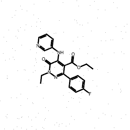 CCOC(=O)c1c(-c2ccc(F)cc2)nn(CC)c(=O)c1Nc1cccnc1